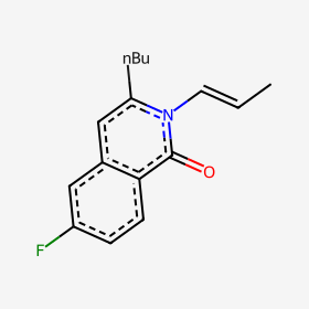 CC=Cn1c(CCCC)cc2cc(F)ccc2c1=O